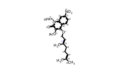 CCCCCCn1c(=O)c(OC(C)=O)c(OC/C=C(\C)CCC=C(C)C)c2ccc([N+](=O)[O-])cc21